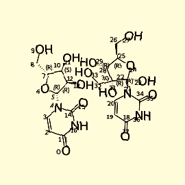 O=c1ccn([C@@H]2O[C@H](CO)[C@@H](O)[C@H]2O)c(=O)[nH]1.O=c1ccn([C@]2(O)O[C@H](CO)[C@@H](O)[C@]2(O)CO)c(=O)[nH]1